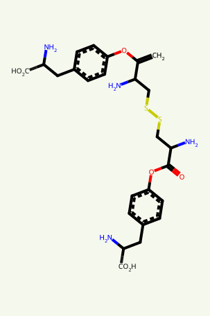 C=C(Oc1ccc(CC(N)C(=O)O)cc1)C(N)CSSCC(N)C(=O)Oc1ccc(CC(N)C(=O)O)cc1